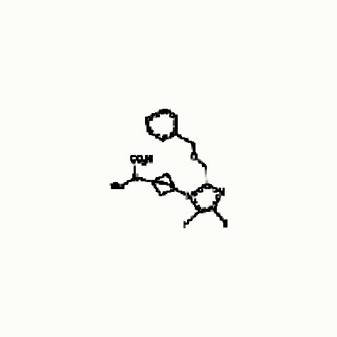 CC(C)(C)N(C(=O)O)C12CC(n3c(COCc4ccccc4)nc(I)c3I)(C1)C2